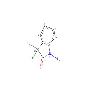 O=C1N(I)c2ccccc2C1(F)F